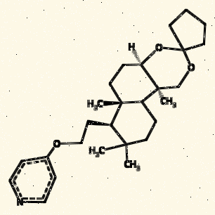 CC1(C)CCC2[C@]3(C)COC4(CCCC4)O[C@@H]3CC[C@@]2(C)[C@@H]1CCOc1ccncc1